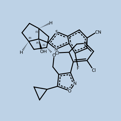 N#Cc1cc(F)c2nc([C@]3(O)[C@@H]4CC[C@H]3C[C@H](OCc3c(C5=C(Cl)C=NCC5Cl)noc3C3CC3)C4)sc2c1